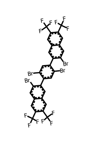 FC(F)(F)c1cc2cc(Br)c(-c3cc(Br)c(-c4cc5cc(C(F)(F)F)c(C(F)(F)F)cc5cc4Br)cc3Br)cc2cc1C(F)(F)F